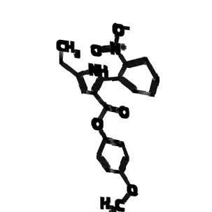 CCc1cc(C(=O)Oc2ccc(OC)cc2)c(-c2ccccc2[N+](=O)[O-])[nH]1